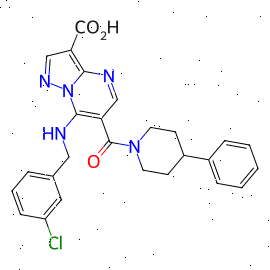 O=C(O)c1cnn2c(NCc3cccc(Cl)c3)c(C(=O)N3CCC(c4ccccc4)CC3)cnc12